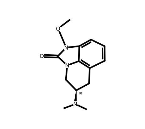 COn1c(=O)n2c3c(cccc31)C[C@@H](N(C)C)C2